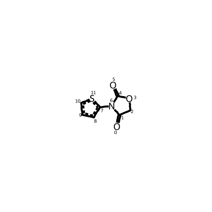 O=C1COC(=O)N1c1cccs1